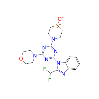 [O-][S+]1CCN(c2nc(N3CCOCC3)nc(-n3c(C(F)F)nc4ccccc43)n2)CC1